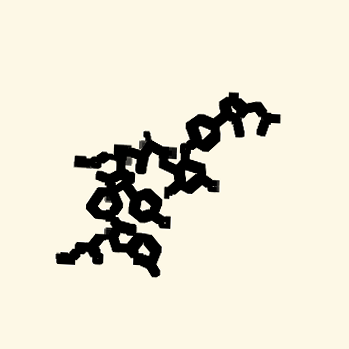 COC[C@H](NC(=O)[C@H](C)NCc1c(F)cc(Cl)cc1Oc1ccc(-c2cnc(CN(C)C)n2C)cc1)C(=O)N(C)[C@@]1(Cc2ccc(Cl)cc2)CCCN(C(=O)[C@@H](CC(=O)OC(C)(C)C)Cc2cccc(C)n2)C1